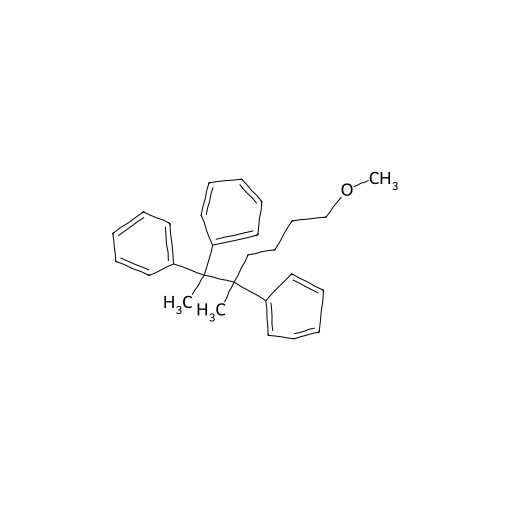 COCCCCC(C)(c1ccccc1)C(C)(c1ccccc1)c1ccccc1